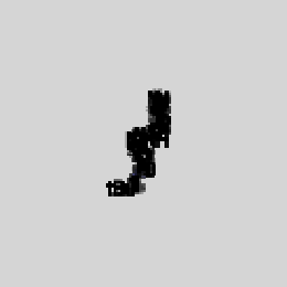 Cc1cc(Nc2ncnc3sc4c(c23)CCN(C(=O)/C=C/CN(C)C(C)(C)C)C4)ccc1Oc1ccc2ncnn2c1